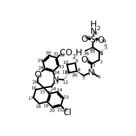 C[C@H](CC(=O)N(C)C[C@@H]1CC[C@H]1CN1CC2(CCCc3cc(Cl)ccc32)COc2ccc(C(=O)O)cc21)[C@@H](C)S(N)(=O)=O